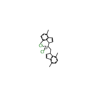 Cc1ccc(C)c2c1C=CC2C[CH](C1C=Cc2c(C)ccc(C)c21)[Zr]([Cl])[Cl]